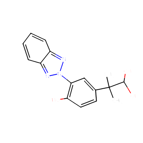 CC(C)(c1ccc(O)c(-n2nc3ccccc3n2)c1)C(O)O